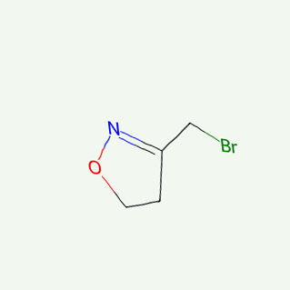 BrCC1=NOCC1